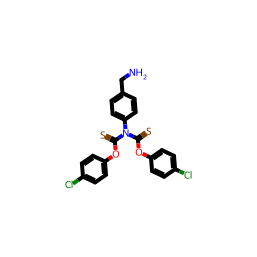 NCc1ccc(N(C(=S)Oc2ccc(Cl)cc2)C(=S)Oc2ccc(Cl)cc2)cc1